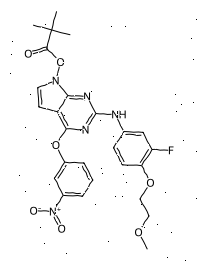 COCCOc1ccc(Nc2nc(Oc3cccc([N+](=O)[O-])c3)c3ccn(OC(=O)C(C)(C)C)c3n2)cc1F